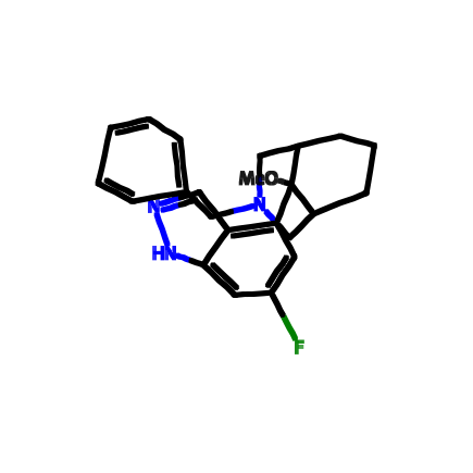 COC1(c2cc(F)cc3[nH]ncc23)C2CCCC1CN(Cc1ccccc1)C2